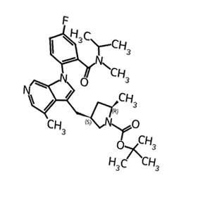 Cc1cncc2c1c(C[C@H]1C[C@@H](C)N(C(=O)OC(C)(C)C)C1)cn2-c1ccc(F)cc1C(=O)N(C)C(C)C